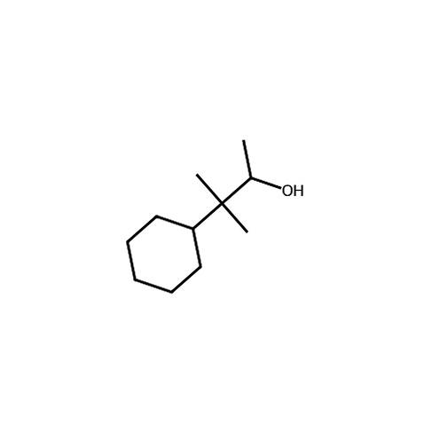 CC(O)C(C)(C)C1CCCCC1